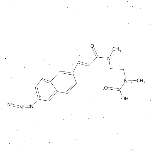 CN(CCN(C)C(=O)C=Cc1ccc2cc(N=[N+]=[N-])ccc2c1)C(=O)O